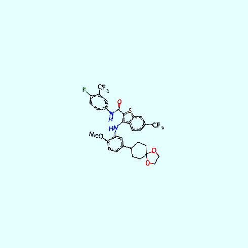 COc1ccc(C2CCC3(CC2)OCCO3)cc1Nc1c(C(=O)Nc2ccc(F)c(C(F)(F)F)c2)sc2cc(C(F)(F)F)ccc12